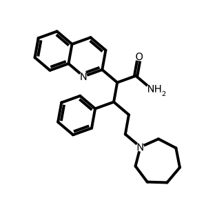 NC(=O)C(c1ccc2ccccc2n1)C(CCN1CCCCCC1)c1ccccc1